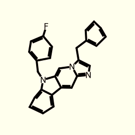 Fc1ccc(Cn2c3ccccc3c3cc4ncc(Cc5ccccc5)n4cc32)cc1